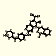 CCC(CC)c1cc2cnc(Nc3ccc(NC4CCCNC4)cc3)nc2n(C2Cc3ccccc3N(C)C2)c1=O